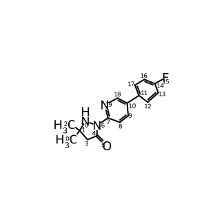 CC1(C)CC(=O)N(c2ccc(-c3ccc(F)cc3)cn2)N1